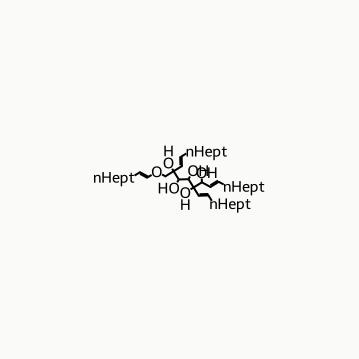 CCCCCCCC=COCC(O)(C=CCCCCCCC)C(O)C(O)C(O)(C=CCCCCCCC)C(O)C=CCCCCCCC